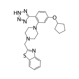 c1ccc2sc(CN3CCN(c4cc(OC5CCCC5)ccc4-c4nn[nH]n4)CC3)nc2c1